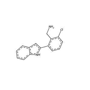 NCc1c(Cl)cccc1-c1cc2ccccc2[nH]1